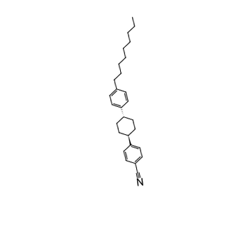 CCCCCCCCCc1ccc([C@H]2CC[C@H](c3ccc(C#N)cc3)CC2)cc1